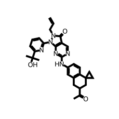 C=CCn1c(=O)c2cnc(Nc3ccc4c(c3)CC(C(C)=O)CC43CC3)nc2n1-c1cccc(C(C)(C)O)n1